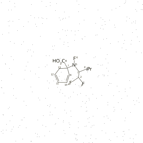 CC(C)C(C(F)F)N(F)C1(C(=O)O)C=CC=CC1